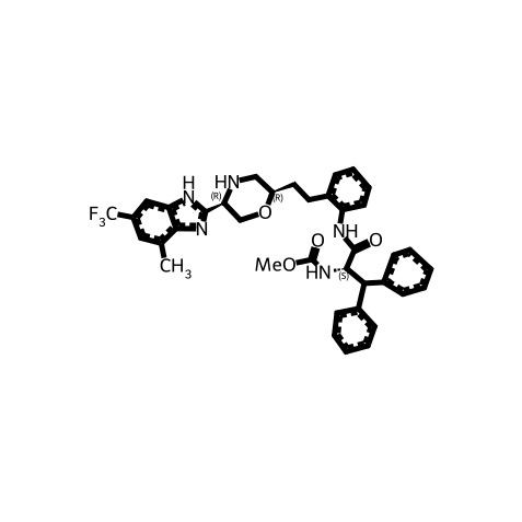 COC(=O)N[C@H](C(=O)Nc1ccccc1CC[C@@H]1CN[C@H](c2nc3c(C)cc(C(F)(F)F)cc3[nH]2)CO1)C(c1ccccc1)c1ccccc1